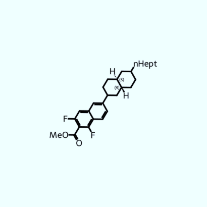 CCCCCCCC1CC[C@@H]2CC(c3ccc4c(F)c(C(=O)OC)c(F)cc4c3)CC[C@H]2C1